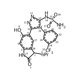 CCCC1C(=O)Nc2cc(O)c(-c3nnc(NS(N)(=O)=O)n3-c3cccc(C(F)(F)F)c3)cc21